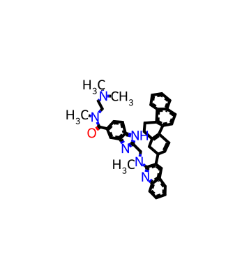 CN(C)CCN(C)C(=O)c1ccc2[nH]c(CN(C)c3nc4ccccc4cc3C3C=CC4=C(CCc5c4ccc4ccccc54)C3)nc2c1